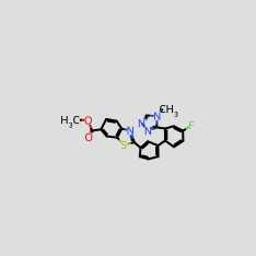 COC(=O)c1ccc2nc(-c3cccc(-c4ccc(F)cc4-c4nncn4C)c3)sc2c1